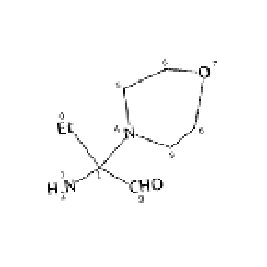 CCC(N)(C=O)N1CCOCC1